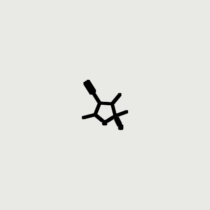 C#CC1C(C)OP(C)(=O)C1C